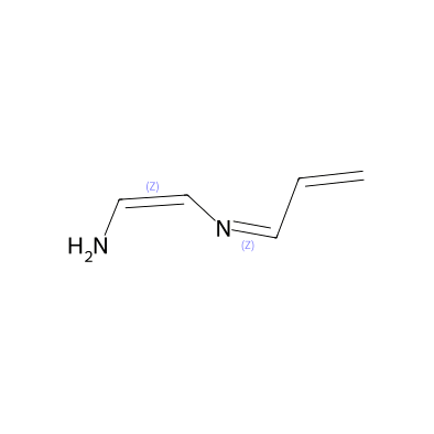 C=C/C=N\C=C/N